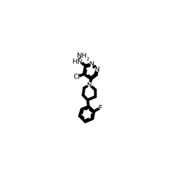 NNc1nncc(N2CCC(c3ccccc3F)CC2)c1Cl